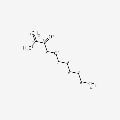 C=C(C)C(=O)COCCCCCC